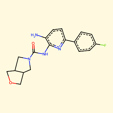 Nc1ccc(-c2ccc(F)cc2)nc1NC(=O)N1CC2COCC2C1